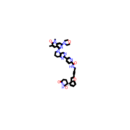 Cc1cc2c(N3CCCc4nc(-c5ccc(C(=O)NCC#Cc6cc7c([C@@H]8CCC(=O)NC8=O)cccc7o6)nc5)ncc43)nc(N3CCOCC3)cc2n(C)c1=O